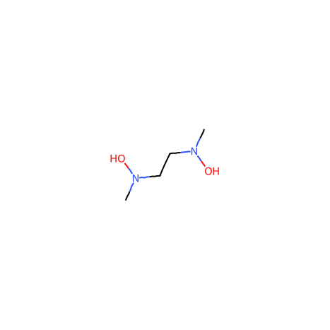 CN(O)CCN(C)O